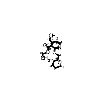 C=Cc1ccnc(OCC2CCCCO2)c1C(=O)OCC